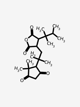 CC(C)C(C)(C)C1C(=O)OC(=O)C1CC(C)(C)C1C(=O)CC(=O)C1(C)C